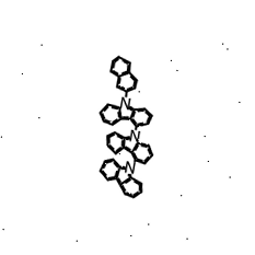 c1ccc2cc(-n3c4ccccc4c4c(-n5c6ccccc6c6c(-n7c8ccccc8c8ccccc87)cccc65)cccc43)ccc2c1